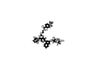 O=C(NCCOc1nc(N2C[C@H]3CC[C@@H](C2)N3)c2cnc(-c3cc(O)cc4ccccc34)c(F)c2n1)c1ccc(S(=O)(=O)F)cc1.O=C(O)C(F)(F)F.O=C(O)C(F)(F)F